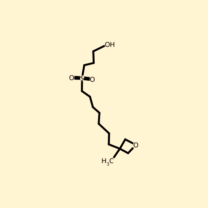 CC1(CCCCCCCS(=O)(=O)CCCO)COC1